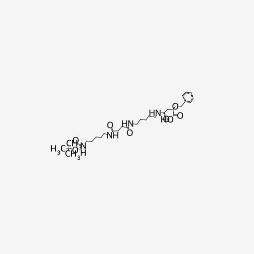 CC(C)(C)OC(=O)NCCCCCNC(=O)CCC(=O)NCCCCCNC(=O)CC(OCc1ccccc1)C(=O)O